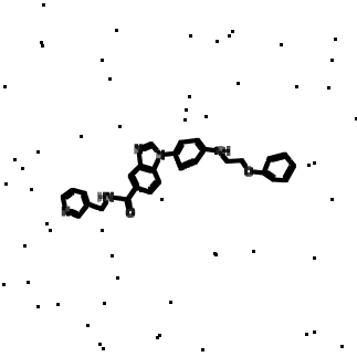 O=C(NCc1cccnc1)c1ccc2c(c1)ncn2-c1ccc(NCCOc2ccccc2)cc1